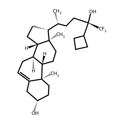 C[C@H](CC[C@](O)(C1CCC1)C(F)(F)F)[C@H]1CC[C@H]2[C@@H]3CC=C4C[C@@H](O)CC[C@]4(C)[C@H]3CC[C@]12C